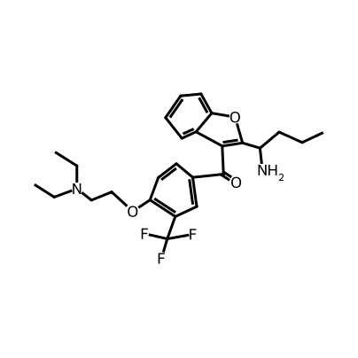 CCCC(N)c1oc2ccccc2c1C(=O)c1ccc(OCCN(CC)CC)c(C(F)(F)F)c1